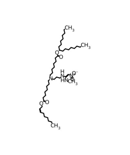 CCCCCC/C=C\COC(=O)CCCCCCCN(CCCCCCCC(=O)OC(CCCCCCCC)CCCCCCCC)CCCNC(=C[N+](=O)[O-])NC